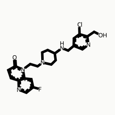 O=c1ccc2ncc(F)cc2n1CCN1CCC(NCc2cnc(CO)c(Cl)c2)CC1